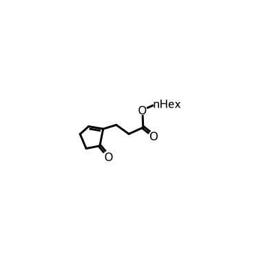 CCCCCCOC(=O)CCC1=CCCC1=O